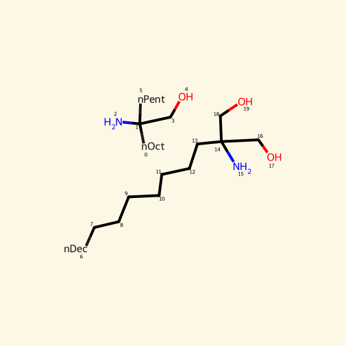 CCCCCCCCC(N)(CO)CCCCC.CCCCCCCCCCCCCCCCCC(N)(CO)CO